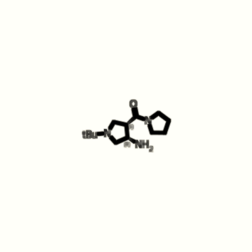 CC(C)(C)N1C[C@H](N)[C@H](C(=O)N2CCCC2)C1